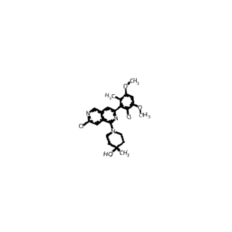 COc1cc(OC)c(Cl)c(-c2cc3cnc(Cl)cc3c(N3CCC(C)(O)CC3)n2)c1C